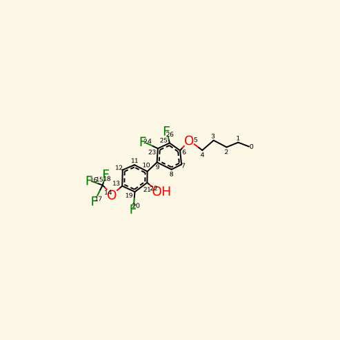 CCCCCOc1ccc(-c2ccc(OC(F)(F)F)c(F)c2O)c(F)c1F